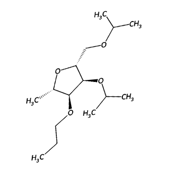 CCCO[C@@H]1[C@H](OC(C)C)[C@@H](COC(C)C)O[C@H]1C